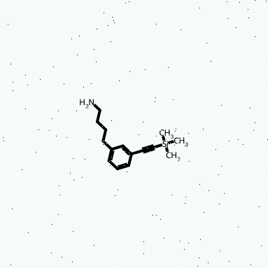 C[Si](C)(C)C#Cc1cccc(CCCCN)c1